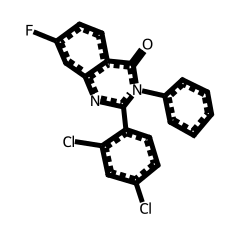 O=c1c2ccc(F)cc2nc(-c2ccc(Cl)cc2Cl)n1-c1ccccc1